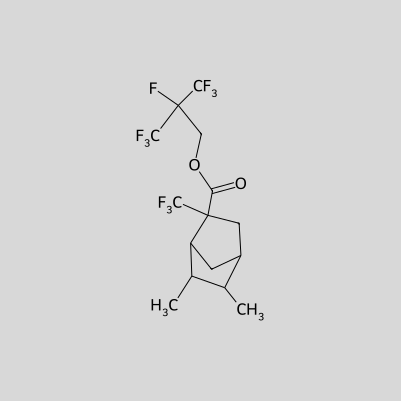 CC1C2CC(C1C)C(C(=O)OCC(F)(C(F)(F)F)C(F)(F)F)(C(F)(F)F)C2